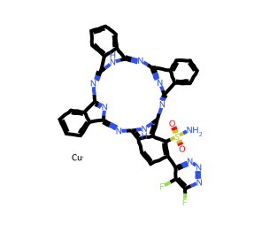 NS(=O)(=O)c1c(-c2nnnc(F)c2F)ccc2c3nc4nc(nc5[nH]c(nc6nc(nc([nH]3)c12)-c1ccccc1-6)c1ccccc51)-c1ccccc1-4.[Cu]